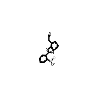 N#CCc1cccc2nc(-c3ccccc3[N+](=O)[O-])sc12